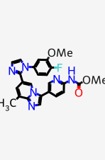 COC(=O)Nc1ccc(-c2cnc3c(C)cc(-c4nccn4-c4ccc(F)c(OC)c4)cn23)cn1